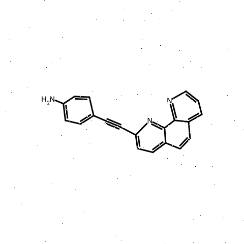 Nc1ccc(C#Cc2ccc3ccc4cccnc4c3n2)cc1